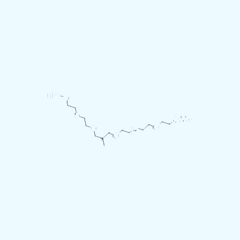 CCCOCCOCCOCC(C)COCCOCCOCCOC